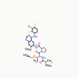 C#CCO[C@H](C)[C@H](NC(=O)C(C)NC)C(=O)N1CCCC1C(=O)Nc1cc2c(Nc3ccc(F)c(Cl)c3F)ncnc2cc1OC